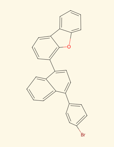 Brc1ccc(-c2ccc(-c3cccc4c3oc3ccccc34)c3ccccc23)cc1